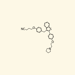 N#CCCCOc1ccc(Cc2c(-c3ccc(OCCN4CCCC4)cc3)sc3ccccc23)cc1